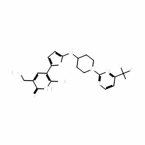 CCc1cc(-c2ccc(NC3CCN(c4nccc(C(F)(F)F)n4)CC3)s2)c(C)[nH]c1=O